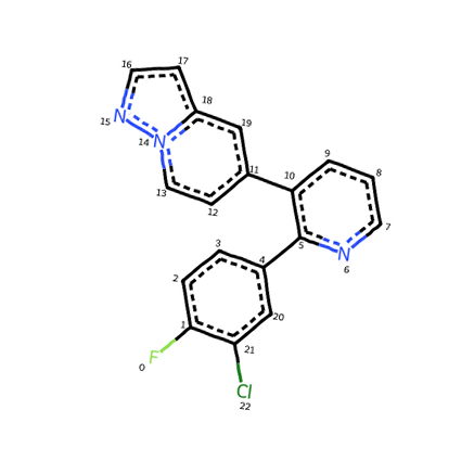 Fc1ccc(-c2ncccc2-c2ccn3nccc3c2)cc1Cl